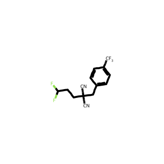 N#CC(C#N)(CCC(F)F)Cc1ccc(C(F)(F)F)cc1